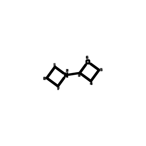 C1CN(C2CCO2)C1